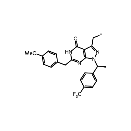 COc1ccc(Cc2nc3c(c(CF)nn3[C@@H](C)c3ccc(C(F)(F)F)cc3)c(=O)[nH]2)cc1